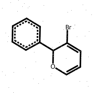 BrC1=CC=COC1c1ccccc1